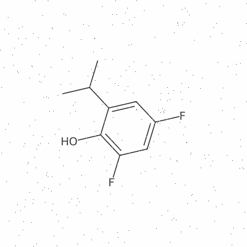 CC(C)c1cc(F)cc(F)c1O